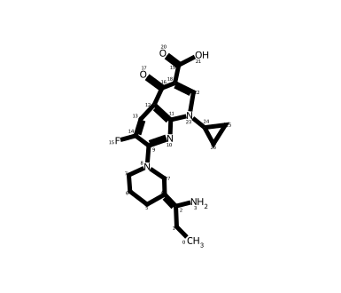 CCC(N)=C1CCCN(c2nc3c(cc2F)c(=O)c(C(=O)O)cn3C2CC2)C1